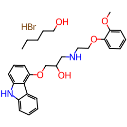 Br.CCCCCO.COc1ccccc1OCCNCC(O)COc1cccc2[nH]c3ccccc3c12